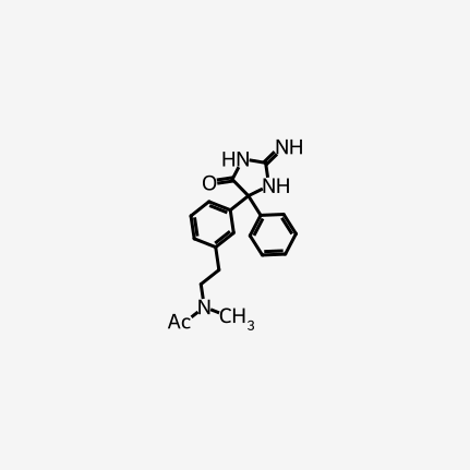 CC(=O)N(C)CCc1cccc(C2(c3ccccc3)NC(=N)NC2=O)c1